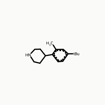 Cc1cc(C(C)(C)C)ccc1C1CCNCC1